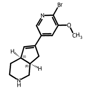 COc1cc(C2=C[C@@H]3CCNC[C@@H]3C2)cnc1Br